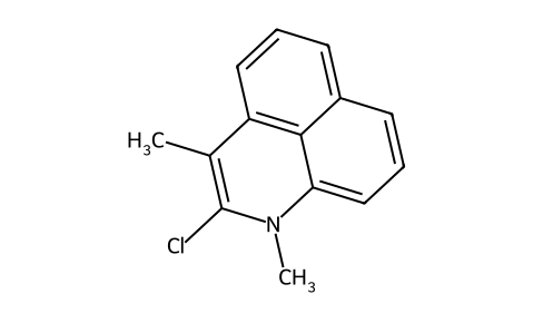 CC1=C(Cl)N(C)c2cccc3cccc1c23